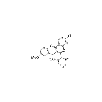 COc1cccc(Cc2c(C(C(C)C)N(C(=O)O)C(C)(C)C)oc3nc(Cl)ccc3c2=O)c1